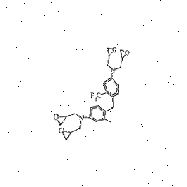 Cc1cc(N(CC2CO2)CC2CO2)ccc1Cc1ccc(N(CC2CO2)CC2CO2)cc1C(F)(F)F